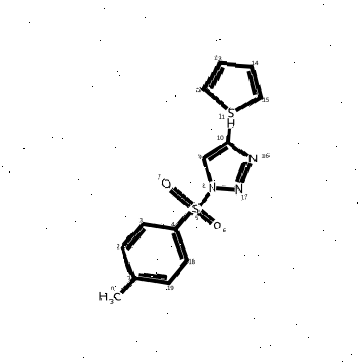 Cc1ccc(S(=O)(=O)n2cc([SH]3C=CC=C3)nn2)cc1